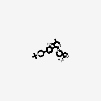 CCC1(C(N)=O)CCCN(c2ncc(C)c3[nH]c4cc(C5CCN(C(C)(C)C)CC5)ccc4c23)C1